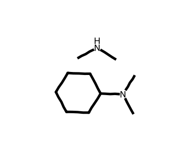 CN(C)C1CCCCC1.CNC